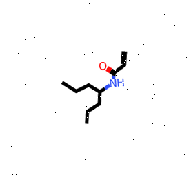 C=CC(=O)NC(CCC)CCC